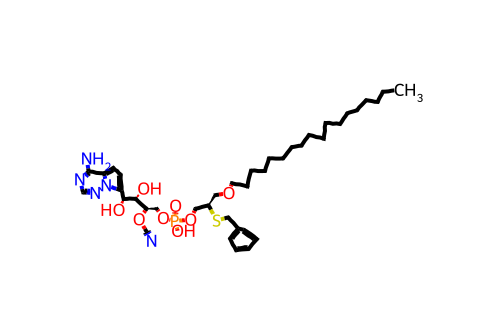 CCCCCCCCCCCCCCCCCCOC[C@H](COP(=O)(O)OC[C@@H](OC#N)[C@@H](O)[C@@H](O)c1ccc2c(N)ncnn12)SCc1ccccc1